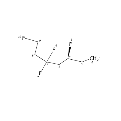 [CH2]C[C@H](F)CC(F)(F)CCF